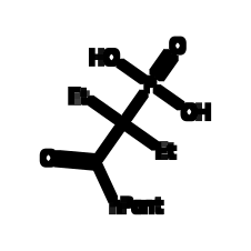 CCCCCC(=O)C(CC)(CC)P(=O)(O)O